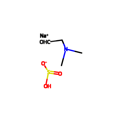 CN(C)CC=O.O=S([O-])O.[Na+]